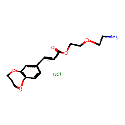 Cl.NCCOCCOC(=O)/C=C/c1ccc2c(c1)OCCO2